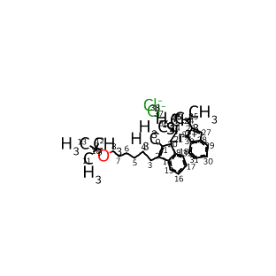 CC1=C(CCCCCCOC(C)(C)C)c2ccccc2[CH]1[Zr+2]([CH]1C(C(C)C)=Cc2ccccc21)=[Si](C)C.[Cl-].[Cl-]